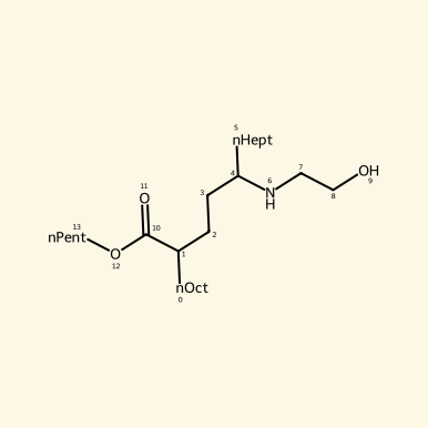 CCCCCCCCC(CCC(CCCCCCC)NCCO)C(=O)OCCCCC